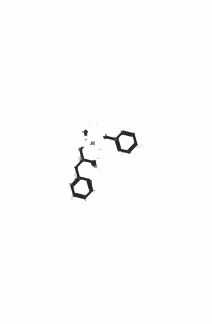 O=CN(CC(Cc1ccccc1)C(=O)O)OCc1ccccc1